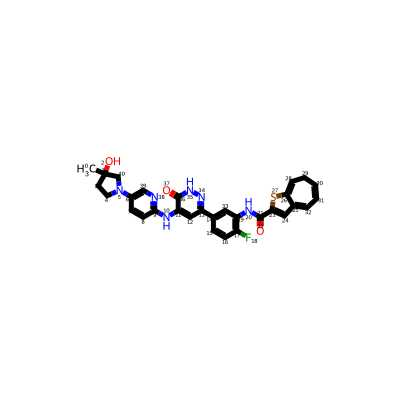 CC1(O)CCN(c2ccc(Nc3cc(-c4ccc(F)c(NC(=O)c5cc6c(s5)=CCC=CC=6)c4)n[nH]c3=O)nc2)C1